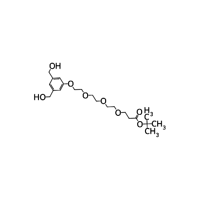 CC(C)(C)OC(=O)CCOCCOCCOCCOc1cc(CO)cc(CO)c1